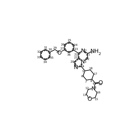 Nc1cn2c(C3CCC(C(=O)N4CCOCC4)CC3)ncc2c(-c2cccc(OCc3ccccc3)c2)n1